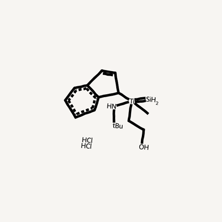 CC(C)(C)[NH][Ti]([CH3])(=[SiH2])([CH2]CO)[CH]1C=Cc2ccccc21.Cl.Cl